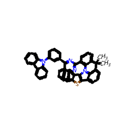 CC1(C)c2cccc(-c3nc(-c4cccc(-n5c6ccccc6c6ccccc65)c4)c4ccccc4n3)c2-n2c3c1cccc3c1sc3ccccc3c12